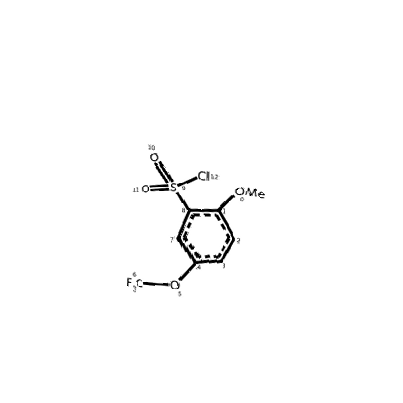 COc1ccc(OC(F)(F)F)cc1S(=O)(=O)Cl